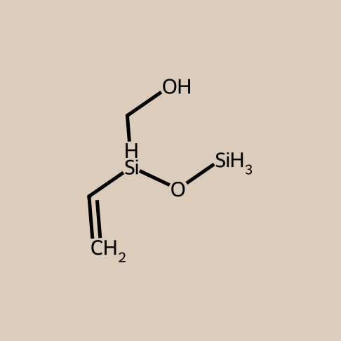 C=C[SiH](CO)O[SiH3]